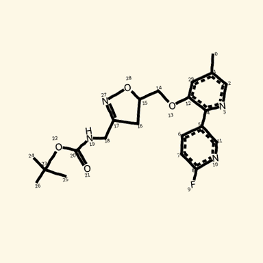 Cc1cnc(-c2ccc(F)nc2)c(OCC2CC(CNC(=O)OC(C)(C)C)=NO2)c1